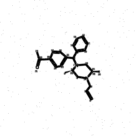 C=CCN1C[C@H](C)N(C(c2ccccc2)c2ccc(C(C)=O)cc2)C[C@H]1C